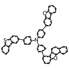 c1ccc2c(c1)ccc1c2oc2cccc(-c3ccc(N(c4ccc(-c5ccc6c(c5)oc5ccccc56)cc4)c4ccc(-c5ccc6sc7ccccc7c6c5)cc4)cc3)c21